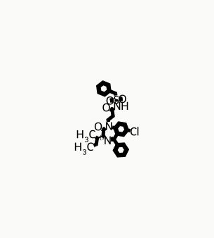 CCC(C)[C@@H]1N=C(c2ccccc2)c2cc(Cl)ccc2N(CCC(=O)NS(=O)(=O)Cc2ccccc2)C1=O